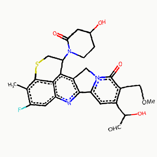 COCc1c(C(O)C=O)cc2n(c1=O)Cc1c-2nc2cc(F)c(C)c3c2c1C(N1CCC(O)CC1=O)CS3